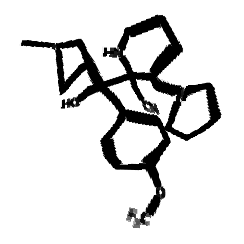 CN1CC(C)(C(O)(c2ccc(OC(F)(F)F)cc2)C2(C#N)NC=CC=C2N2CCCC2)C1